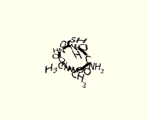 CN1N=NN(C)OC(=O)C(N)CCC(=O)NC(CS)C(=O)NCC(=O)O1